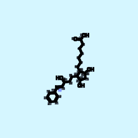 O=C(O)CCCCCC[C@@H]1C(CCC(O)/C=N/c2ccccc2)[C@H](O)C[C@@H]1O